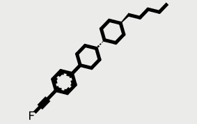 CCCCC[C@H]1CC[C@H](C2CCC(c3ccc(C#CF)cc3)CC2)CC1